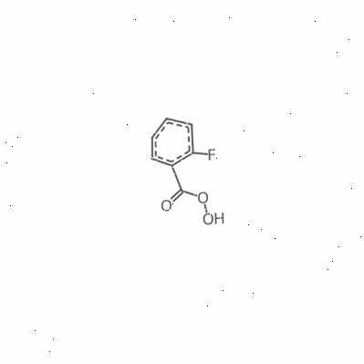 O=C(OO)c1ccccc1F